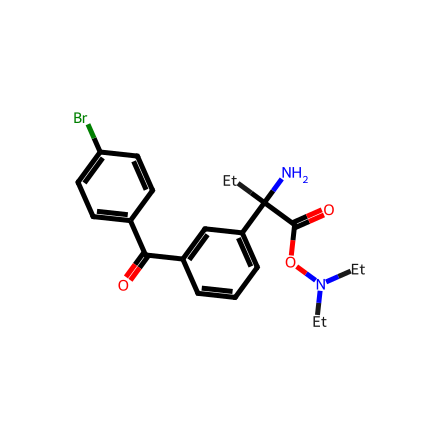 CCN(CC)OC(=O)C(N)(CC)c1cccc(C(=O)c2ccc(Br)cc2)c1